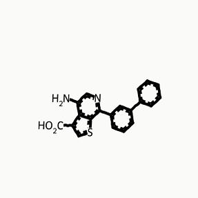 Nc1cnc(-c2cccc(-c3ccccc3)c2)c2scc(C(=O)O)c12